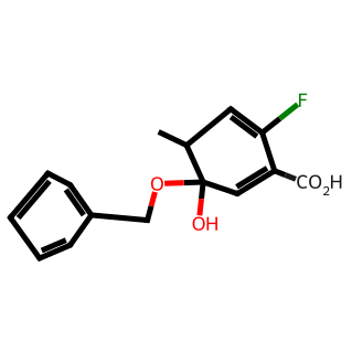 CC1C=C(F)C(C(=O)O)=CC1(O)OCc1ccccc1